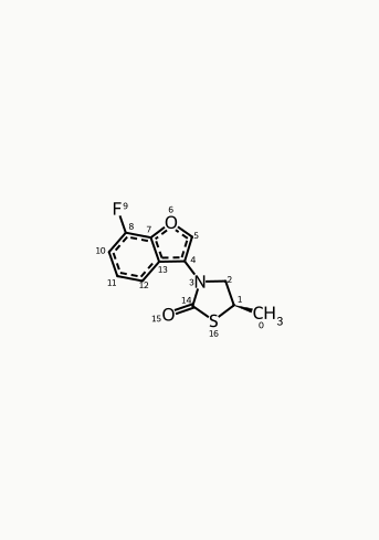 C[C@@H]1CN(c2coc3c(F)cccc23)C(=O)S1